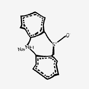 [Na].[O-][S+]1c2ccccc2Nc2ccccc21